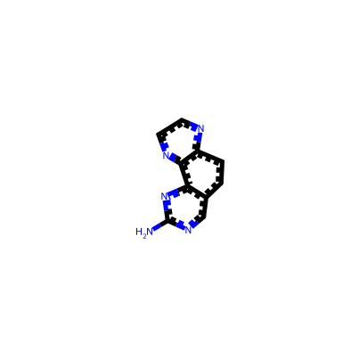 Nc1ncc2ccc3nccnc3c2n1